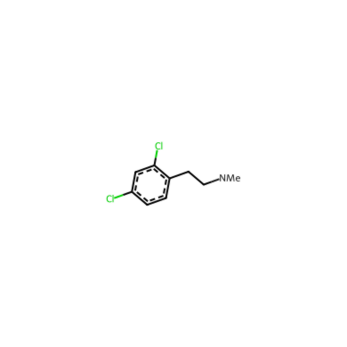 CNCCc1ccc(Cl)cc1Cl